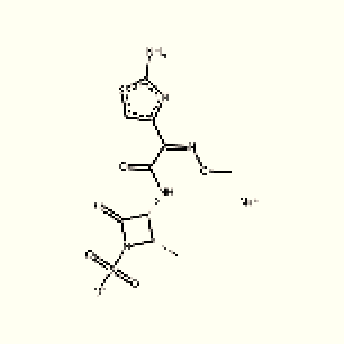 CON=C(C(=O)N[C@H]1C(=O)N(S(=O)(=O)[O-])[C@H]1C)c1csc(N)n1.[Na+]